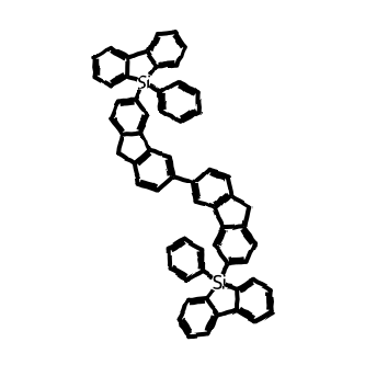 c1ccc([Si]2(c3ccc4c(c3)-c3cc(-c5ccc6c(c5)-c5cc([Si]7(c8ccccc8)c8ccccc8-c8ccccc87)ccc5C6)ccc3C4)c3ccccc3-c3ccccc32)cc1